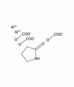 O=C([O-])[O-].O=C([O-])[O-].O=C([O-])[O-].O=C1CCCN1.[Al+3].[Al+3]